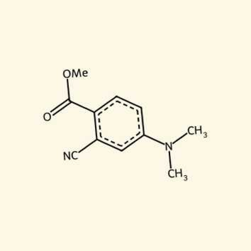 COC(=O)c1ccc(N(C)C)cc1C#N